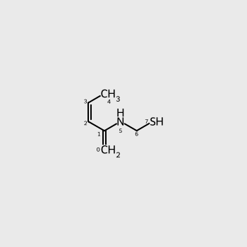 C=C(/C=C\C)NCS